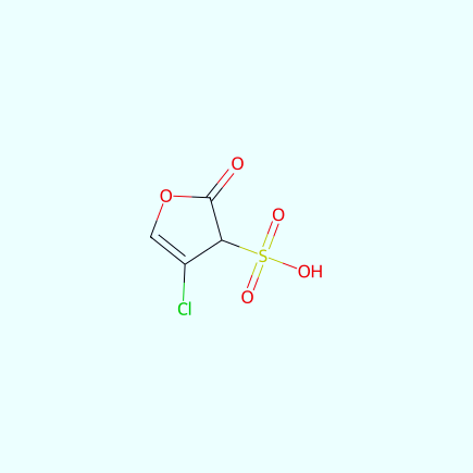 O=C1OC=C(Cl)C1S(=O)(=O)O